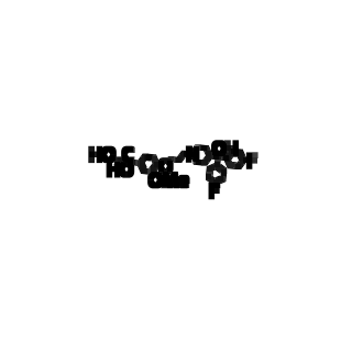 COc1cc(C(O)C(=O)O)ccc1OCCCN1CCC(C(O)(c2ccc(F)cc2)c2ccc(F)cc2)CC1